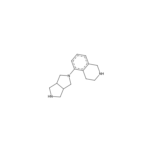 c1cc2c(c(N3CC4CNCC4C3)c1)CCNC2